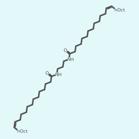 CCCCCCCC/C=C\CCCCCCCCCCCC(=O)NCCCNC(=O)CCCCCCCCCCC/C=C\CCCCCCCC